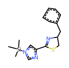 C[Si](C)(C)n1cnc(C2=NC(Cc3ccccc3)CS2)c1